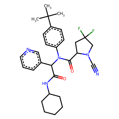 CC(C)(C)c1ccc(N(C(=O)C2CC(F)(F)CN2C#N)C(C(=O)NC2CCCCC2)c2cccnc2)cc1